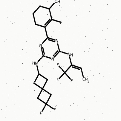 CC=C(Nc1nc(NC2CC3(C2)CC(F)(F)C3)nc(C2=C(F)C(O)CCC2)n1)C(F)(F)F